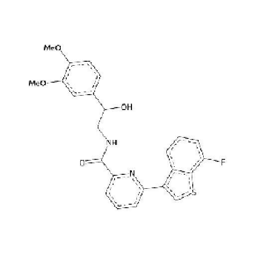 COc1ccc(C(O)CNC(=O)c2cccc(-c3csc4c(F)cccc34)n2)cc1OC